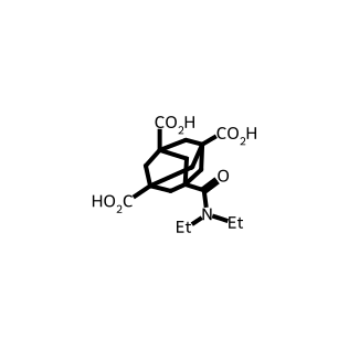 CCN(CC)C(=O)C12CC3(C(=O)O)CC(C(=O)O)(CC(C(=O)O)(C3)C1)C2